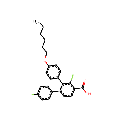 CCCCCCOc1ccc(-c2c(-c3ccc(F)cc3)ccc(C(=O)O)c2F)cc1